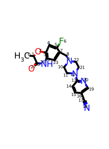 CC1Oc2cc(F)c(CN3CCN(c4ccc(C#N)cn4)CC3)cc2NC1=O